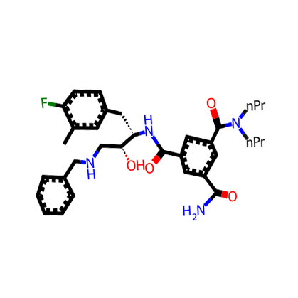 CCCN(CCC)C(=O)c1cc(C(N)=O)cc(C(=O)N[C@@H](Cc2ccc(F)c(C)c2)[C@H](O)CNCc2ccccc2)c1